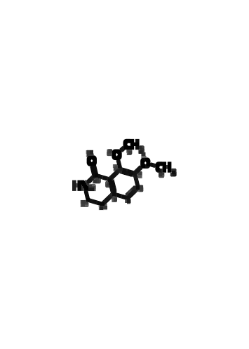 COc1ccc2c(c1OC)C(=O)NCC2